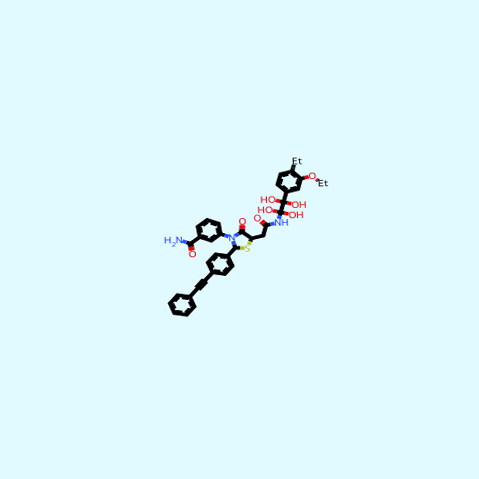 CCOc1cc(C(O)(O)C(O)(O)NC(=O)CC2SC(c3ccc(C#Cc4ccccc4)cc3)N(c3cccc(C(N)=O)c3)C2=O)ccc1CC